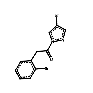 O=C(Cc1ccccc1Br)n1cc(Br)cn1